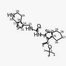 C=C(OC(C)(C)C)c1c(NC(=O)NCc2csc3c2CCNC3)sc2c1CCCC2